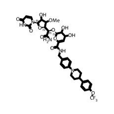 COC1C(O)[C@H](n2ccc(=O)[nH]c2=O)O[C@@H]1[C@@H](O[C@H]1OC(C(=O)NCc2ccc(N3CCC(c4ccc(OC(F)(F)F)cc4)CC3)cc2)=CC(O)C1O)C(N)=O